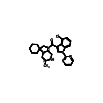 C[C@H]1CN(C2(CNC(=O)c3cn(-c4ncccn4)c4cccc(Cl)c34)CCCCC2)CCN1